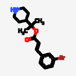 CC(C)(OC(=O)/C=C/c1cccc(Br)c1)C1CCNCC1